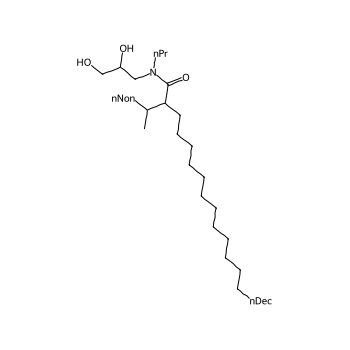 CCCCCCCCCCCCCCCCCCCCCCC(C(=O)N(CCC)CC(O)CO)C(C)CCCCCCCCC